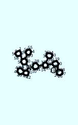 c1ccc(-c2ccc(N(c3ccc(-c4ccc(-c5cccc6c5oc5ccccc56)c(-c5ccccc5)c4)cc3)c3cccc4ccccc34)cc2-c2ccccc2)cc1